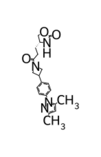 Cc1cc(C)n(-c2ccc(C3CN(C(=O)CC[C@@H]4COC(=O)N4)C3)cc2)n1